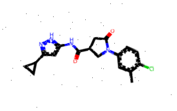 Cc1cc(N2CC(C(=O)Nc3cc(C4CC4)n[nH]3)CC2=O)ccc1Cl